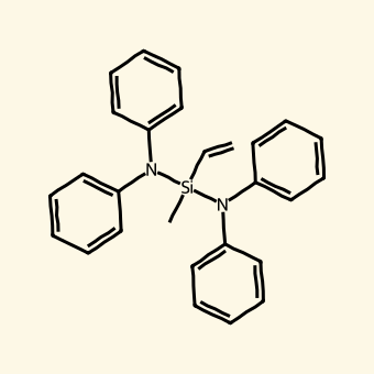 C=C[Si](C)(N(c1ccccc1)c1ccccc1)N(c1ccccc1)c1ccccc1